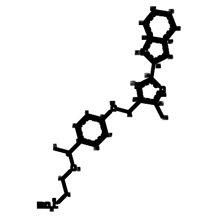 CCOC(=O)CCOC(C)c1ccc(OCc2nc(-c3cc4ccccc4s3)oc2C)cc1